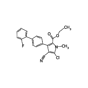 CCOC(=O)c1c(-c2ccc(-c3ccccc3F)cc2)c(C#N)c(Cl)n1C